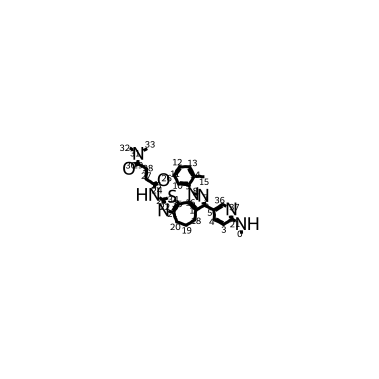 CNc1ccc(-c2nn(-c3ccccc3C)c3c2CCCc2nc(NC(=O)CCC(=O)N(C)C)sc2-3)cn1